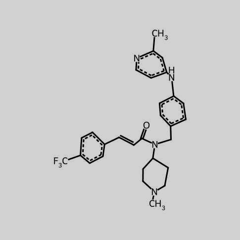 Cc1cc(Nc2ccc(CN(C(=O)/C=C/c3ccc(C(F)(F)F)cc3)C3CCN(C)CC3)cc2)ccn1